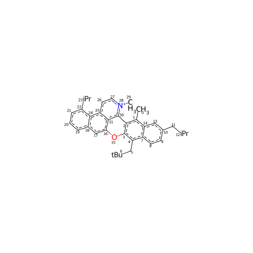 Cc1c2c(c(CC(C)(C)C)c3ccc(CC(C)C)cc13)Oc1cc3cccc(C(C)C)c3c3cc[n+](C)c-2c13